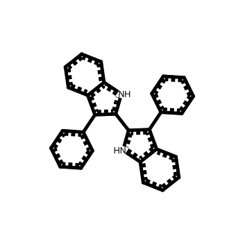 c1ccc(-c2c(-c3[nH]c4ccccc4c3-c3ccccc3)[nH]c3ccccc23)cc1